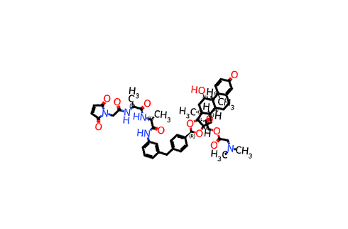 C[C@H](NC(=O)CN1C(=O)C=CC1=O)C(=O)N[C@@H](C)C(=O)Nc1cccc(Cc2ccc([C@@H]3O[C@@H]4C[C@H]5[C@@H]6CCC7=CC(=O)C=C[C@]7(C)[C@H]6[C@@H](O)C[C@]5(C)[C@]4(C(=O)COC(=O)CN(C)C)O3)cc2)c1